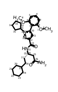 COc1cccc(OC)c1-c1cc(C(=O)N[C@@H](CCC2CCCCC2)CC(N)=O)nn1C1CCCC1